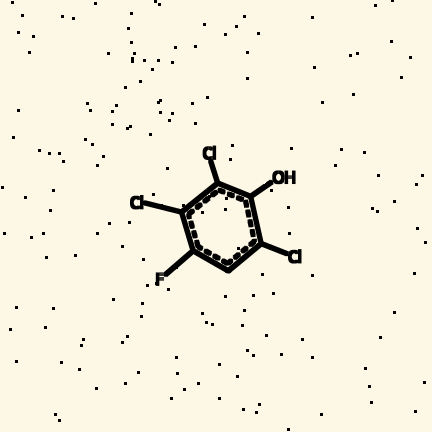 Oc1c(Cl)cc(F)c(Cl)c1Cl